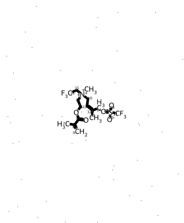 C=C(C)C(=O)OCC[N+](C)(CC=C(C)C)CC(F)(F)F.O=S(=O)([O-])C(F)(F)F